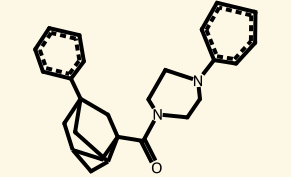 O=C(N1CCN(c2ccccc2)CC1)C12CC3CC1CC(c1ccccc1)(C3)C2